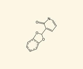 O=C1[N]C=CC=C1C1Oc2ccccc2O1